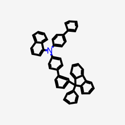 c1ccc(-c2ccc(N(c3ccc(-c4cccc(C5(c6ccccc6)c6ccccc6-c6ccccc65)c4)cc3)c3cccc4ccccc34)cc2)cc1